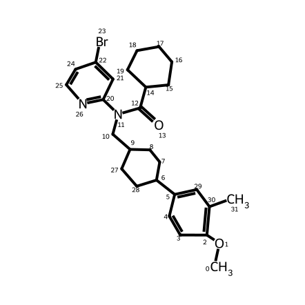 COc1ccc(C2CCC(CN(C(=O)C3CCCCC3)c3cc(Br)ccn3)CC2)cc1C